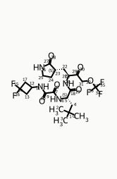 CC(C)(C)C[C@H](NC(=O)C(=O)NC1CC(F)(F)C1)C(=O)N[C@@H](C[C@@H]1CCNC1=O)C(=O)COC(F)(F)F